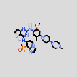 COc1cc(N2CCC(N3CCN(C)CC3)CC2)c(C)cc1Nc1nc(Nc2ccn3ccnc3c2P(C)(C)=O)c2sccc2n1